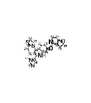 Cn1cncc1CNc1cc(Oc2nccc3occc23)ccc1-c1cccc2nccn12